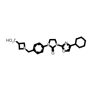 O=C(O)C1CN(Cc2ccc(N3CCN(c4nc(C5CCCCC5)co4)C3=O)cc2)C1